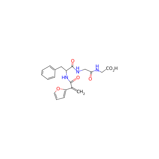 C=C(C(=O)NC(Cc1ccccc1)C(=O)NCC(=O)NCC(=O)O)c1ccco1